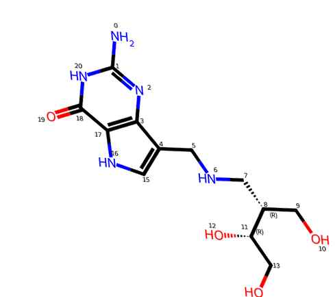 Nc1nc2c(CNC[C@H](CO)[C@@H](O)CO)c[nH]c2c(=O)[nH]1